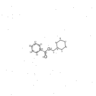 O=C(OC[C]1CCCCC1)c1ccccc1